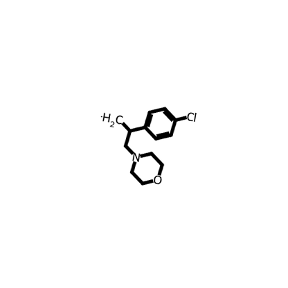 [CH2]C(CN1CCOCC1)c1ccc(Cl)cc1